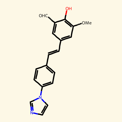 COc1cc(/C=C/c2ccc(-n3ccnc3)cc2)cc(C=O)c1O